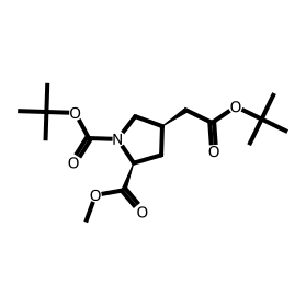 COC(=O)[C@@H]1C[C@H](CC(=O)OC(C)(C)C)CN1C(=O)OC(C)(C)C